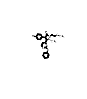 COCCn1c(=O)c(-c2ccc(F)cc2)c(-c2ccnc(Oc3ccccc3)n2)n1C